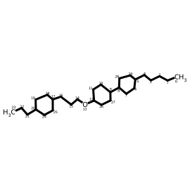 CCCCCC1CCC(C2CCC(OCCCC3CCC(CCC)CC3)CC2)CC1